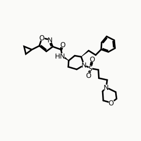 O=C(N[C@@H]1CCN(S(=O)(=O)CCCN2CCOCC2)[C@H](CCc2ccccc2)C1)c1cc(C2CC2)on1